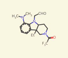 CCC12CN(C(=O)C(F)(F)F)CCC1N(CC=O)c1c(N(C)C)cccc12